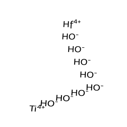 [Hf+4].[OH-].[OH-].[OH-].[OH-].[OH-].[OH-].[OH-].[OH-].[Ti+4]